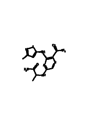 Cc1cc(Nc2nc(NC(C)C(N)=O)cnc2C(N)=O)sn1